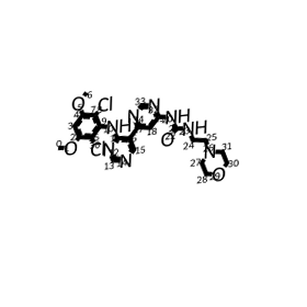 COc1cc(OC)c(Cl)c(Nc2ncncc2-c2cc(NC(=O)NCCN3CCOCC3)ncn2)c1Cl